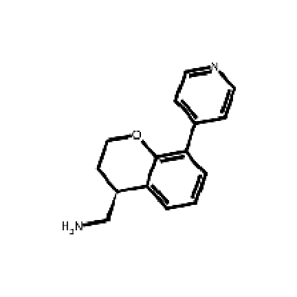 NC[C@H]1CCOc2c(-c3ccncc3)cccc21